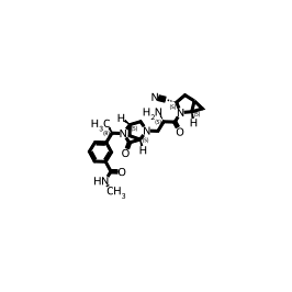 CNC(=O)c1cccc([C@@H](C)N2C(=O)[C@@H]3C[C@H]2CN3C[C@H](N)C(=O)N2[C@H](C#N)CC3C[C@@H]32)c1